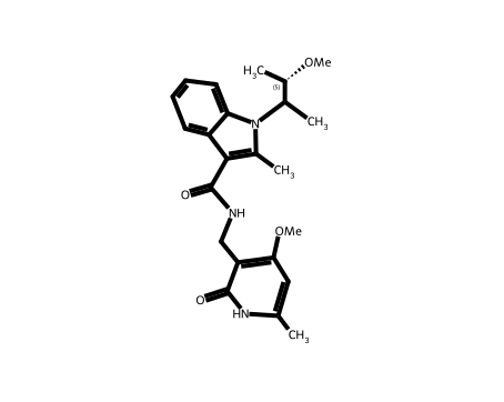 COc1cc(C)[nH]c(=O)c1CNC(=O)c1c(C)n(C(C)[C@H](C)OC)c2ccccc12